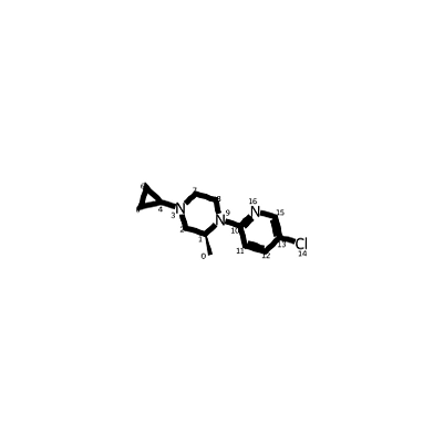 C[C@H]1CN(C2CC2)CCN1c1ccc(Cl)cn1